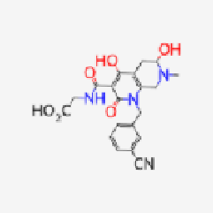 CN1Cc2c(c(O)c(C(=O)NCC(=O)O)c(=O)n2Cc2cccc(C#N)c2)CC1O